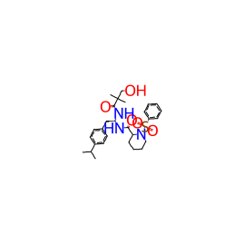 CC(C)c1ccc(C[C@H](NC(=O)C2CCCCN2S(=O)(=O)c2ccccc2)NC(=O)C(C)(C)CO)cc1